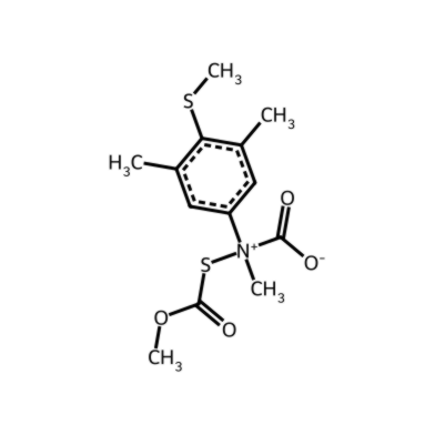 COC(=O)S[N+](C)(C(=O)[O-])c1cc(C)c(SC)c(C)c1